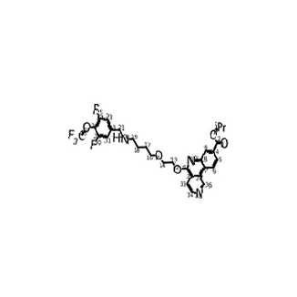 CC(C)OC(=O)c1ccc2c(c1)nc(OCCOCCCCNCc1cc(F)c(OC(F)(F)F)c(F)c1)c1ccncc12